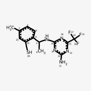 Cc1ccc(C(C)Nc2nc(N)nc(C(F)(F)F)n2)c(S)c1